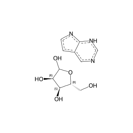 OC[C@H]1OC(O)[C@H](O)[C@@H]1O.c1cc2cnc[nH]c-2n1